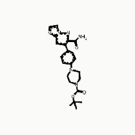 CC(C)(C)OC(=O)N1CCN(c2ccc(-c3cc4nccn4nc3C(N)=O)cc2)CC1